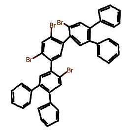 Brc1cc(Br)c(-c2cc(-c3ccccc3)c(-c3ccccc3)cc2Br)cc1-c1cc(-c2ccccc2)c(-c2ccccc2)cc1Br